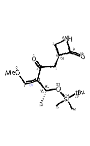 CO/C=C(\C(=O)C[C@H]1CNC1=O)[C@@H](C)O[Si](C)(C)C(C)(C)C